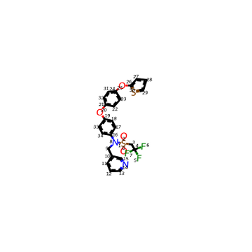 O=S(=O)(CC(F)(F)F)N(Cc1cccnc1)c1ccc(Oc2ccc(Oc3cccs3)cc2)cc1